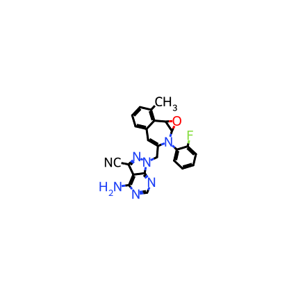 Cc1cccc2c1C1OC1N(c1ccccc1F)C(Cn1nc(C#N)c3c(N)ncnc31)=C2